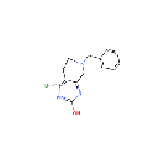 Oc1nc(Cl)c2c(n1)CN(Cc1ccccc1)CC2